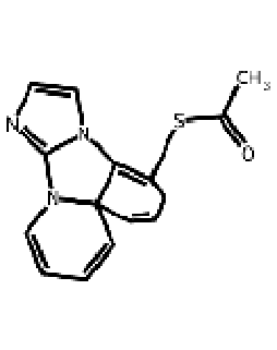 CC(=O)SC1=C2n3ccnc3N3C=CC=CC23C=CC1